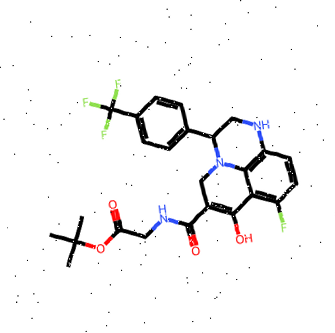 CC(C)(C)OC(=O)CNC(=O)C1=C(O)c2c(F)ccc3c2N(C1)C(c1ccc(C(F)(F)F)cc1)CN3